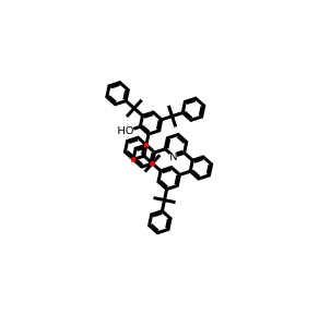 CC(C)(c1ccccc1)c1cc(-c2ccccc2-c2cccc(-c3ccccc3-c3cc(C(C)(C)c4ccccc4)cc(C(C)(C)c4ccccc4)c3O)n2)cc(C(C)(C)c2ccccc2)c1